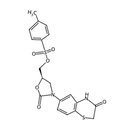 Cc1ccc(S(=O)(=O)OC[C@H]2CN(c3ccc4c(c3)NC(=O)CS4)C(=O)O2)cc1